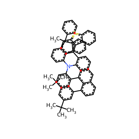 CC(C)(C)c1cc(-c2cccc3cccc(-c4ccccc4N(c4ccccc4-c4cccc5sc6ccccc6c45)c4cccc5c4-c4ccccc4C5(C)c4ccccc4)c23)cc(C(C)(C)C)c1